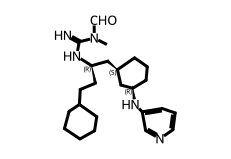 CN(C=O)C(=N)N[C@H](CCC1CCCCC1)C[C@H]1CCC[C@@H](Nc2cccnc2)C1